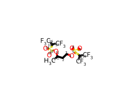 CC(CCOS(=O)(=O)C(C(F)(F)F)C(F)(F)F)OS(=O)(=O)C(C(F)(F)F)C(F)(F)F